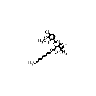 CCCCCCCCOC(=O)c1nc(-c2ccc(Cl)c(OC)c2F)nc2[nH]cc(C)c12